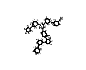 N#Cc1cccc(-c2cccc(-c3nc(-c4cccc(-c5ccccc5)c4)nc(-c4ccc5c(c4)oc4cccc(-c6cccc(-c7ccccc7)c6)c45)n3)c2)c1